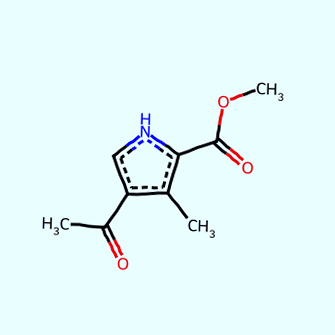 COC(=O)c1[nH]cc(C(C)=O)c1C